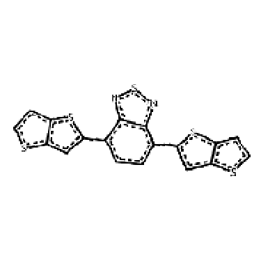 c1cc2sc(-c3ccc(-c4cc5sccc5s4)c4nsnc34)cc2s1